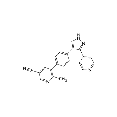 Cc1ncc(C#N)cc1-c1ccc(-c2c[nH]nc2-c2ccncc2)cc1